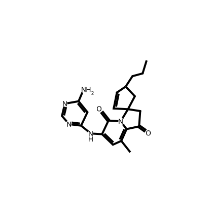 CCCC1C=CC2(CC(=O)c3c(C)cc(Nc4cc(N)ncn4)c(=O)n32)C1